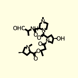 CC(C=O)NC(=O)C1CN(C)CCN1C(=O)C1C[C@@H](O)CN1C(=O)CC(C)OC(=O)C1C[C@@H](C)CN1C